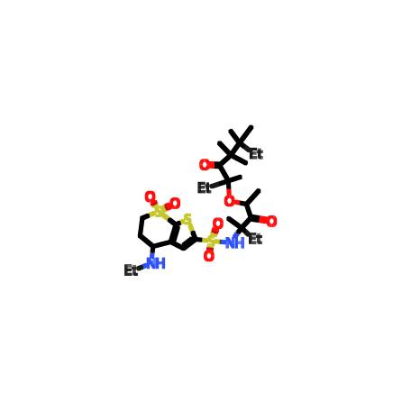 CCNC1CCS(=O)(=O)c2sc(S(=O)(=O)NC(C)(CC)C(=O)C(C)OC(C)(CC)C(=O)C(C)(C)C(C)(C)CC)cc21